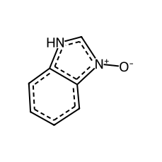 [O-][n+]1c[nH]c2ccccc21